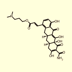 CN(C)CCCOC(=O)/C=C/c1ccc(O)c2c1C[C@H]1C[C@H]3CC(O)=C(C(N)=O)C(=O)[C@@]3(O)C(O)=C1C2=O